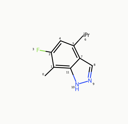 Cc1c(F)cc(C(C)C)c2cn[nH]c12